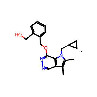 Cc1c(C)n(C[C@H]2C[C@@H]2C)c2c(OCc3ccccc3CO)nncc12